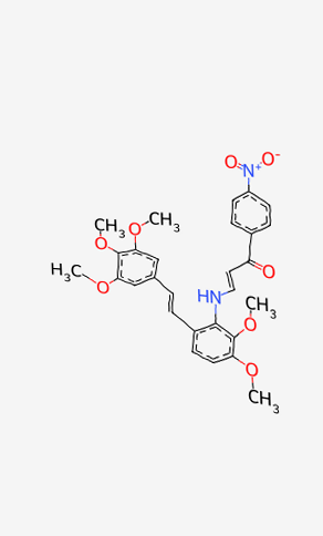 COc1cc(C=Cc2ccc(OC)c(OC)c2NC=CC(=O)c2ccc([N+](=O)[O-])cc2)cc(OC)c1OC